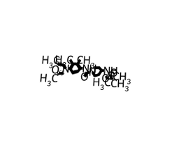 Cc1c(NC(=O)N2CCC(NS(=O)(=O)C(C)(C)C)CC2)ccc(N2C[C@@H](C)O[C@@H](C)C2)c1C